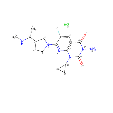 CN[C@H](C)C1CCN(c2nc3c(cc2F)c(=O)n(N)c(=O)n3C2CC2)C1.Cl